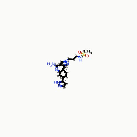 CS(=O)(=O)NCCCn1cc2c(N)nc3cc(-c4ccn[nH]4)ccc3c2n1